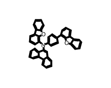 c1ccc2c(c1)cc(N(c1ccc(-c3cccc4c3oc3ccccc34)cc1)c1cccc3c1oc1ccccc13)c1ccccc12